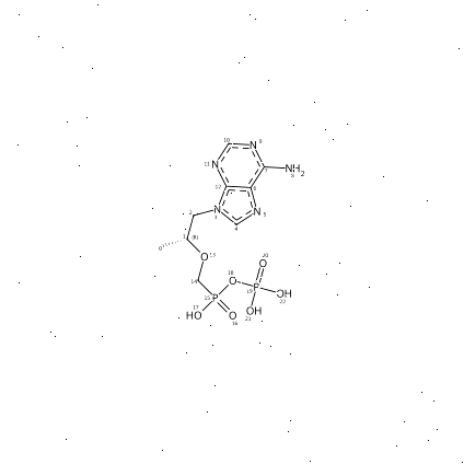 C[C@H](Cn1cnc2c(N)ncnc21)OCP(=O)(O)OP(=O)(O)O